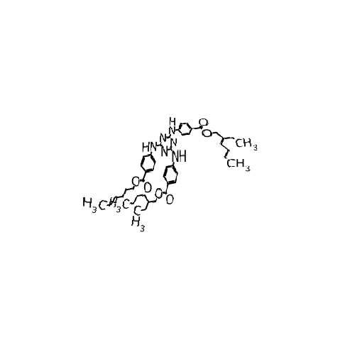 CCCCCCOC(=O)c1ccc(Nc2nc(Nc3ccc(C(=O)OCC(CC)CCCC)cc3)nc(Nc3ccc(C(=O)OCC(CC)CCCC)cc3)n2)cc1